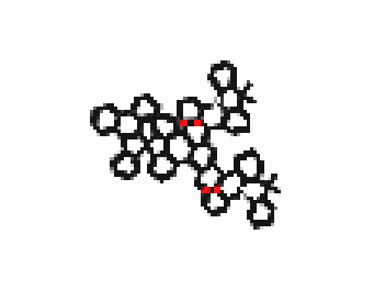 CC1(C)c2ccccc2N(c2ccccc2)c2c(-c3cccc4c(-c5cccc6c5-c5ccccc5C65c6ccccc6-c6c5c5ccccc5c5ccccc65)c5cccc(-c6cccc7c6N(c6ccccc6)c6ccccc6C7(C)C)c5cc34)cccc21